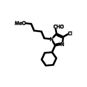 COCCCCn1c(C2CCCCC2)nc(Cl)c1C=O